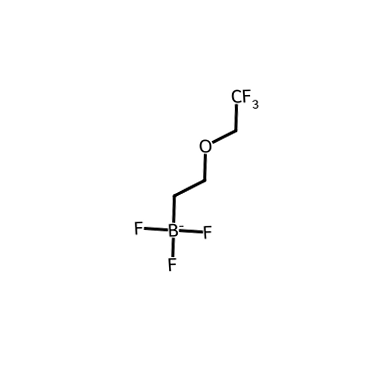 F[B-](F)(F)CCOCC(F)(F)F